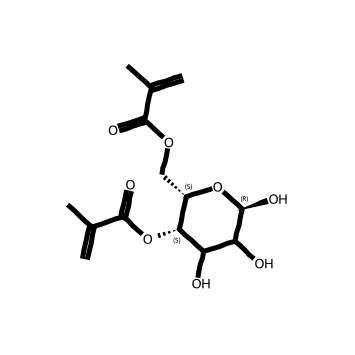 C=C(C)C(=O)OC[C@@H]1O[C@@H](O)C(O)C(O)[C@@H]1OC(=O)C(=C)C